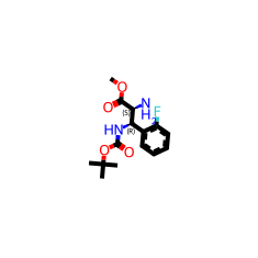 COC(=O)[C@@H](N)[C@H](NC(=O)OC(C)(C)C)c1ccccc1F